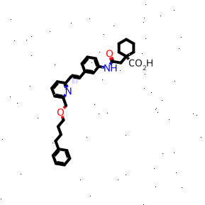 O=C(CC1(C(=O)O)CCCCC1)Nc1cccc(/C=C/c2cccc(COCCCCc3ccccc3)n2)c1